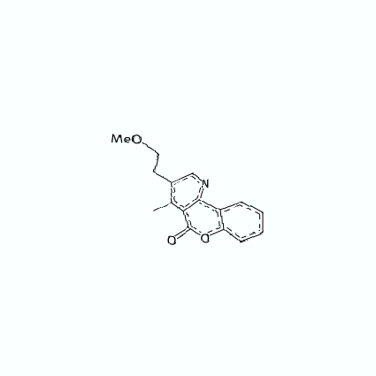 COCCc1cnc2c(c1C)c(=O)oc1ccccc12